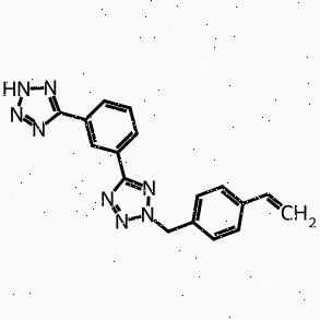 C=Cc1ccc(Cn2nnc(-c3cccc(-c4nn[nH]n4)c3)n2)cc1